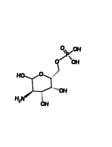 N[C@H]1C(O)O[C@H](COP(=O)(O)O)[C@H](O)[C@@H]1O